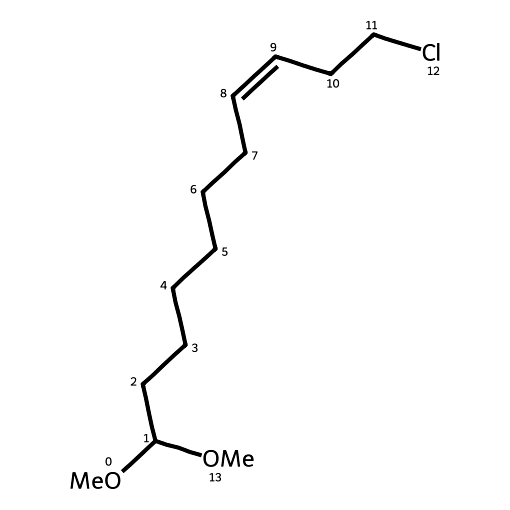 COC(CCCCCC/C=C\CCCl)OC